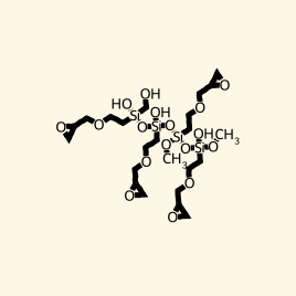 CO[Si](O)(CCOCC1CO1)O[Si](CCOCC1CO1)(OC)O[Si](O)(CCOCC1CO1)O[Si](O)(CO)CCOCC1CO1